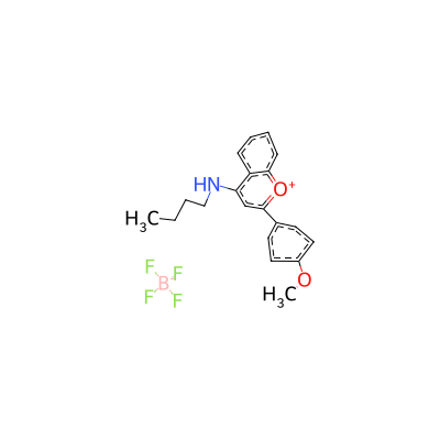 CCCCNc1cc(-c2ccc(OC)cc2)[o+]c2ccccc12.F[B-](F)(F)F